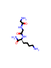 NCCCC[C@H](NC(=O)CNC(=O)CN)C(N)=O